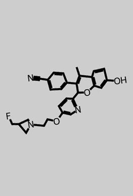 CC1=C(c2ccc(C#N)cc2)C(c2ccc(OCCN3CC(CF)C3)cn2)Oc2cc(O)ccc21